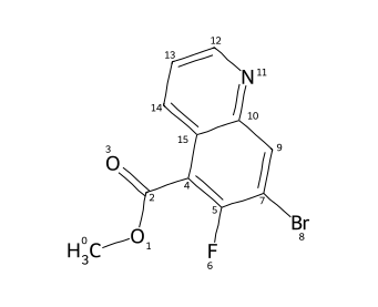 COC(=O)c1c(F)c(Br)cc2ncccc12